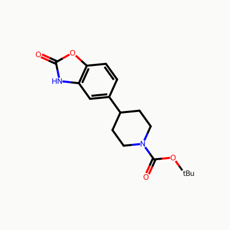 CC(C)(C)OC(=O)N1CCC(c2ccc3oc(=O)[nH]c3c2)CC1